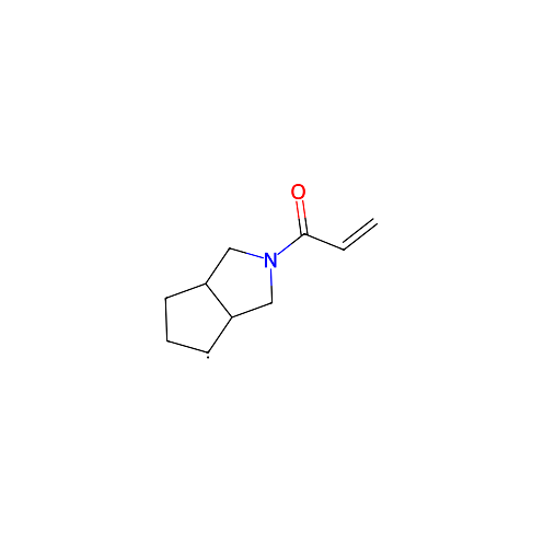 C=CC(=O)N1CC2[CH]CCC2C1